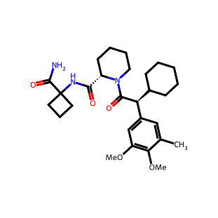 COc1cc([C@@H](C(=O)N2CCCC[C@H]2C(=O)NC2(C(N)=O)CCC2)C2CCCCC2)cc(C)c1OC